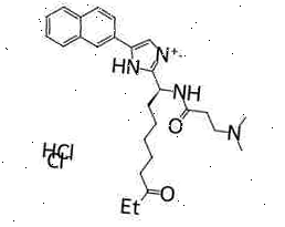 CCC(=O)CCCCC[C@H](NC(=O)CCN(C)C)C1=[N+]C=C(c2ccc3ccccc3c2)N1.Cl.[Cl-]